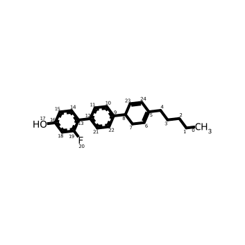 CCCCCC1=CCC(c2ccc(-c3ccc(O)cc3F)cc2)C=C1